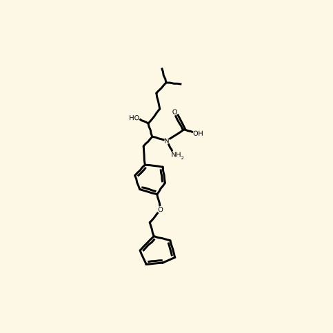 CC(C)CCC(O)C(Cc1ccc(OCc2ccccc2)cc1)N(N)C(=O)O